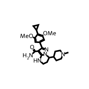 COc1cc(-c2nn3c(c2C(N)=O)NCCC3C2CCN(C)CC2)cc(OC)c1C1CC1